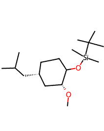 CO[C@@H]1C[C@H](CC(C)C)CCC1O[Si](C)(C)C(C)(C)C